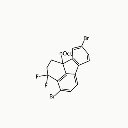 CCCCCCCCC12CCC(F)(F)c3c(Br)ccc(c31)-c1ccc(Br)cc12